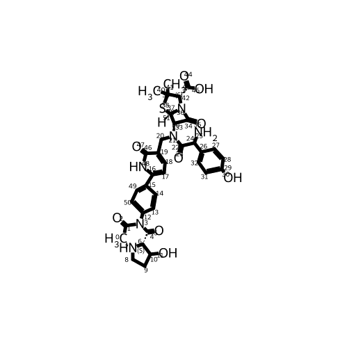 CC(=O)N(C(=O)[C@H]1NCCC1O)c1ccc(-c2ccc(CN(C(=O)C(N)c3ccc(O)cc3)[C@@H]3C(=O)N4[C@@H]3SC(C)(C)[C@@H]4C(=O)O)c(=O)[nH]2)cc1